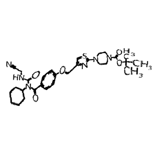 CC(C)(C)OC(=O)N1CCN(c2nc(COc3ccc(C(=O)N(C(=O)NCC#N)C4CCCCC4)cc3)cs2)CC1